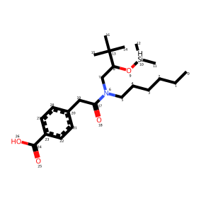 CCCCCCN(CC(O[SiH](C)C)C(C)(C)C)C(=O)Cc1ccc(C(=O)O)cc1